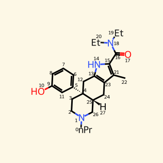 CCCN1CC[C@@]2(c3cccc(O)c3)Cc3[nH]c(C(=O)N(CC)CC)c(C)c3C[C@@H]2C1